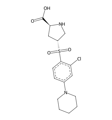 O=C(O)[C@@H]1C[C@@H](S(=O)(=O)c2ccc(N3CCCCC3)cc2Cl)CN1